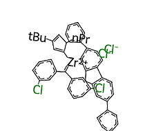 CCCC1C=C(C(C)(C)C)C=[C]1[Zr+2](=[C](c1cccc(Cl)c1)c1cccc(Cl)c1)[c]1c(-c2ccccc2)ccc2c1Cc1cc(-c3ccccc3)ccc1-2.[Cl-].[Cl-]